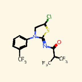 O=C(N=C1SC(Cl)CN1c1cccc(C(F)(F)F)c1)C(C(F)(F)F)C(F)(F)F